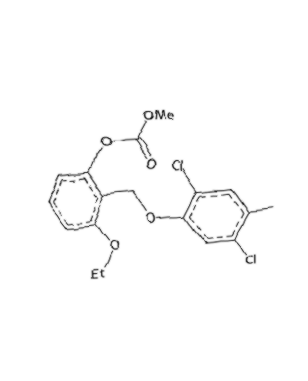 CCOc1cccc(OC(=O)OC)c1COc1cc(Cl)c(C)cc1Cl